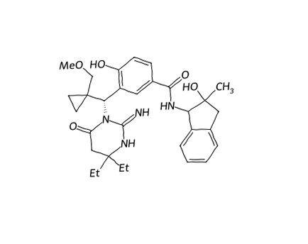 CCC1(CC)CC(=O)N([C@@H](c2cc(C(=O)NC3c4ccccc4CC3(C)O)ccc2O)C2(COC)CC2)C(=N)N1